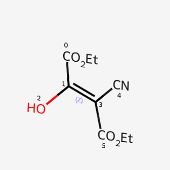 CCOC(=O)/C(O)=C(\C#N)C(=O)OCC